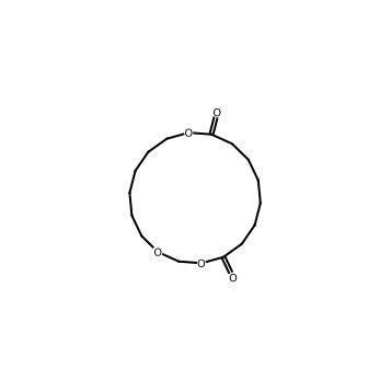 O=C1CCCCCCC(=O)OCOCCCCCCO1